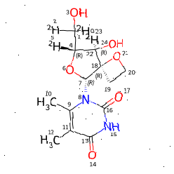 [2H]C([2H])(O)[C@@]1([2H])O[C@@H](n2c(C)c(C)c(=O)[nH]c2=O)[C@@]2(CCO2)[C@]1([2H])O